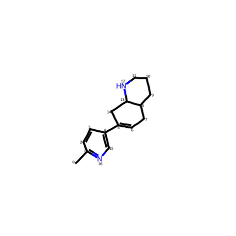 Cc1ccc(C2=CCC3CCCNC3C2)cn1